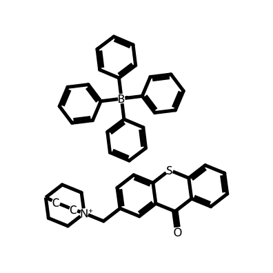 O=c1c2ccccc2sc2ccc(C[N+]34CCC(CC3)CC4)cc12.c1ccc([B-](c2ccccc2)(c2ccccc2)c2ccccc2)cc1